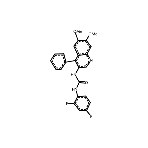 COc1cc2ncc(NC(=O)Nc3ccc(F)cc3F)c(-c3ccccc3)c2cc1OC